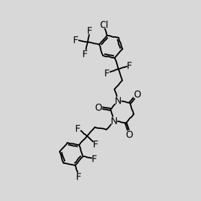 O=C1CC(=O)N(CCC(F)(F)c2cccc(F)c2F)C(=O)N1CCC(F)(F)c1ccc(Cl)c(C(F)(F)F)c1